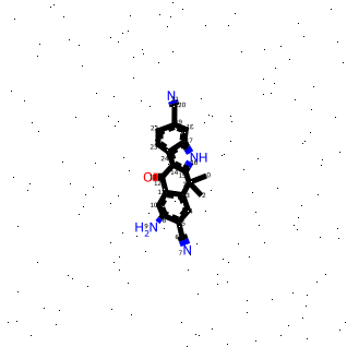 CC1(C)c2cc(C#N)c(N)cc2C(=O)c2c1[nH]c1cc(C#N)ccc21